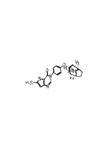 Cc1cc2ncn(-c3ccc(O[C@@H]4C[C@H]5CC[C@@H](C4)N5C)cc3)c(=O)c2s1